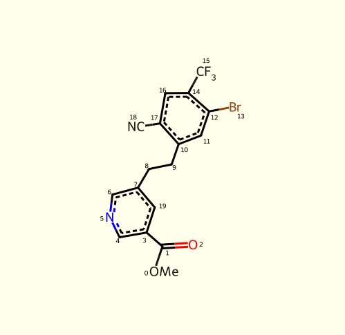 COC(=O)c1cncc(CCc2cc(Br)c(C(F)(F)F)cc2C#N)c1